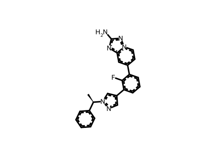 C[C@H](c1ccccc1)n1cc(-c2cccc(-c3ccn4nc(N)nc4c3)c2F)cn1